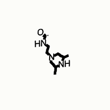 CC1CN(CCN[C]=O)CC(C)N1